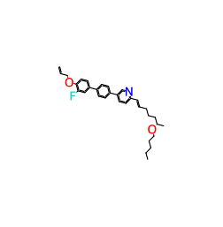 C=CCOc1ccc(-c2ccc(-c3ccc(C=CCCCC(C)OCCCCC)nc3)cc2)cc1F